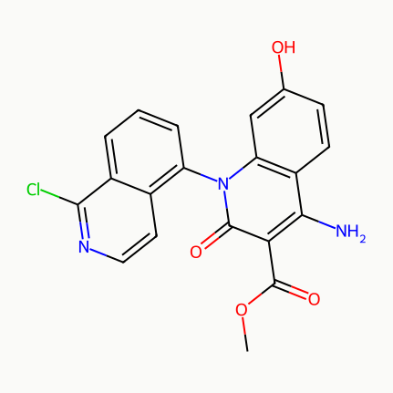 COC(=O)c1c(N)c2ccc(O)cc2n(-c2cccc3c(Cl)nccc23)c1=O